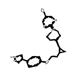 Clc1cnc(N2CCC(C3CC3CCOc3ccc(-c4cn[nH]c4)cc3)CC2)nc1